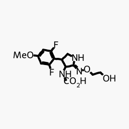 COc1cc(F)c(C2CN/C(=N\OCCO)C2NC(=O)O)c(F)c1